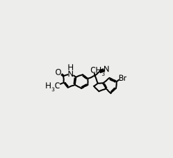 Cc1cc2ccc(C(C)(C#N)C3CCc4ccc(Br)cc43)cc2[nH]c1=O